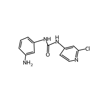 Nc1cccc(NC(=O)Nc2ccnc(Cl)c2)c1